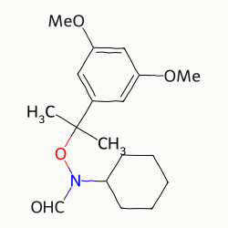 COc1cc(OC)cc(C(C)(C)ON(C=O)C2CCCCC2)c1